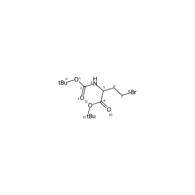 CC(C)(C)OC(=O)NC(CCBr)C(=O)OC(C)(C)C